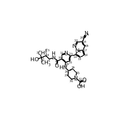 CC(C)(O)[C@H](F)CNC(=O)c1cnc(-c2ccc3cc(C#N)cnn23)cc1NC1CCN(C(=O)O)CC1